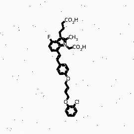 Cc1c(CCCC(=O)O)c2c(F)ccc(C=Cc3ccc(OC/C=C/COc4ccccc4Cl)cc3)c2n1CC(=O)O